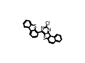 Clc1nc(-c2cccc3c2sc2ccccc23)c2sc3ccc4ccccc4c3c2n1